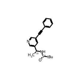 C[C@H](N[S+]([O-])C(C)(C)C)c1cncc(C#Cc2ccccc2)c1